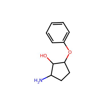 NC1CCC(Oc2ccccc2)C1O